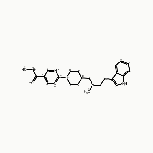 CN(CCc1c[nH]c2ccccc12)CC1CCN(c2ncc(C(=O)NO)cn2)CC1